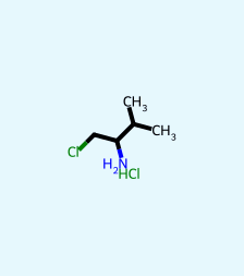 CC(C)C(N)CCl.Cl